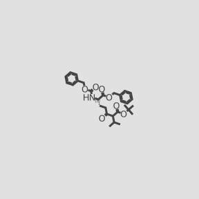 CC(C)C(C(=O)CC[C@H](NC(=O)OCc1ccccc1)C(=O)OCc1ccccc1)C(=O)OC(C)(C)C